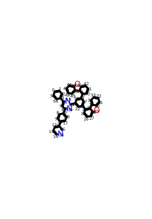 c1ccc(-c2cc(-c3ccc(-c4cccnc4)cc3)nc(-c3cc(-c4cccc5oc6ccccc6c45)cc(-c4cccc5oc6ccccc6c45)c3)n2)cc1